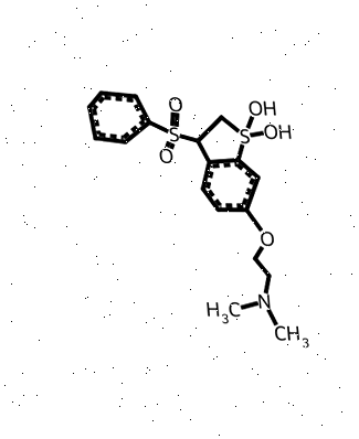 CN(C)CCOc1ccc2c(c1)S(O)(O)CC2S(=O)(=O)c1ccccc1